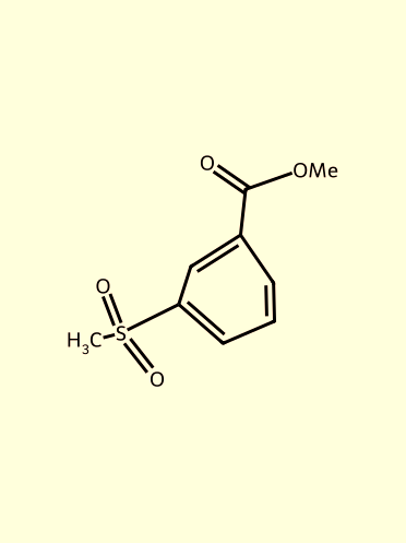 COC(=O)c1cccc(S(C)(=O)=O)c1